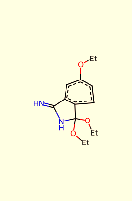 CCOc1ccc2c(c1)C(=N)NC2(OCC)OCC